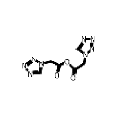 O=C(Cn1cnnn1)OC(=O)Cn1cnnn1